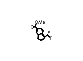 COC(=O)c1ccc2c([C](F)F)cccc2c1